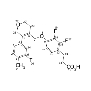 Cc1ccc(C2=C(COc3ccc(CCC(=O)O)c(F)c3F)CCOC2)cc1F